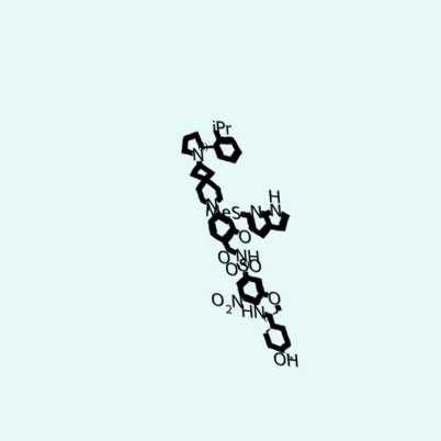 CSc1nc2[nH]ccc2cc1Oc1cc(N2CCC3(CC2)CC(N2CCC[C@H]2c2ccccc2C(C)C)C3)ccc1C(=O)NS(=O)(=O)c1cc2c(c([N+](=O)[O-])c1)N[C@@H]([C@H]1CC[C@](C)(O)CC1)CO2